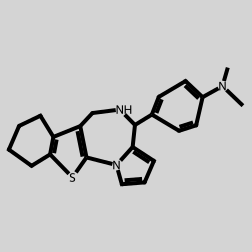 CN(C)c1ccc(C2NCc3c(sc4c3CCCC4)-n3cccc32)cc1